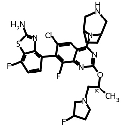 C[C@@H](CN1CCC(F)C1)Oc1nc(N2C3CCC2CNC3)c2cc(Cl)c(-c3ccc(F)c4sc(N)nc34)c(F)c2n1